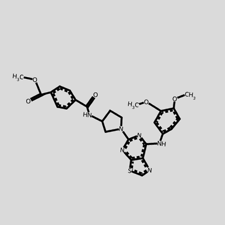 COC(=O)c1ccc(C(=O)NC2CCN(c3nc(Nc4ccc(OC)c(OC)c4)c4ncsc4n3)C2)cc1